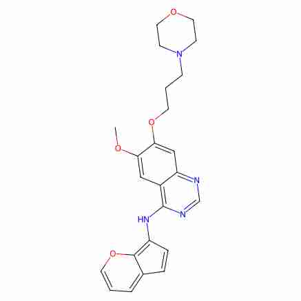 COc1cc2c(Nc3ccc4cccoc3-4)ncnc2cc1OCCCN1CCOCC1